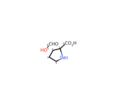 O=C(O)C1CCCN1.O=CO